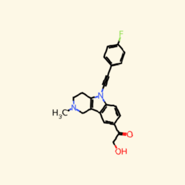 CN1CCc2c(c3cc(C(=O)CO)ccc3n2C#Cc2ccc(F)cc2)C1